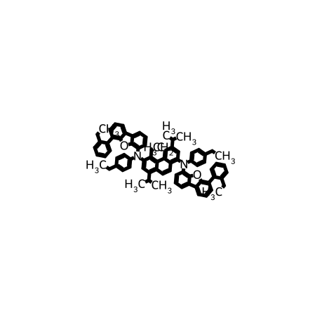 C=Cc1c(N(c2ccc(CC)cc2)c2cccc3c2oc2c(-c4ccccc4CC)cccc23)cc(C(C)C)c2ccc3c(N(c4ccc(CC)cc4)c4cccc5c4oc4c(-c6ccccc6CC)cccc45)cc(C(C)C)c(C)c3c12